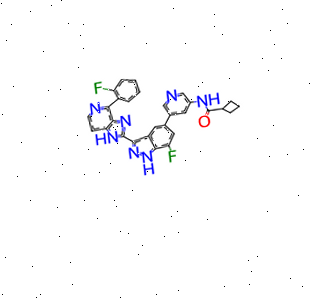 O=C(Nc1cncc(-c2cc(F)c3[nH]nc(-c4nc5c(-c6ccccc6F)nccc5[nH]4)c3c2)c1)C1CCC1